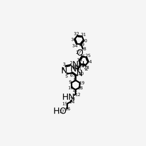 N[N+]12C=CN=CC1=C(C1CCC(CNCCCO)CC1)N=C2c1cccc(OCc2ccccc2)c1